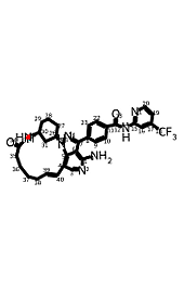 Nc1ncc2c3c1c(-c1ccc(C(=O)Nc4cc(C(F)(F)F)ccn4)cc1)nn3[C@@H]1CCC[C@H](C1)NC(=O)CCCC/C=C/2